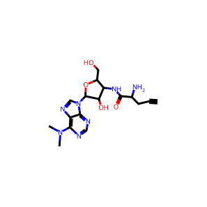 C#CCC(N)C(=O)NC1C(CO)OC(n2cnc3c(N(C)C)ncnc32)C1O